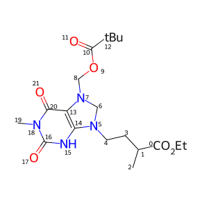 CCOC(=O)C(C)CCN1CN(COC(=O)C(C)(C)C)c2c1[nH]c(=O)n(C)c2=O